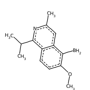 Bc1c(OC)ccc2c(C(C)C)nc(C)cc12